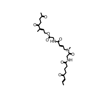 C/C=C/C(=O)CCCC(=O)NCC(=O)N(C)C/C=C/C(=O)NCC(=O)OC/C=C(\C)C(=O)CCC(C)=O